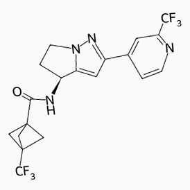 O=C(N[C@H]1CCn2nc(-c3ccnc(C(F)(F)F)c3)cc21)C12CC(C(F)(F)F)(C1)C2